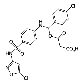 O=C(O)CC(=O)OC(Nc1ccc(S(=O)(=O)Nc2cc(Cl)on2)cc1)c1ccc(Cl)cc1